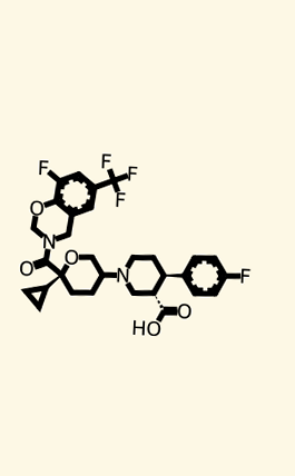 O=C(O)[C@@H]1CN(C2CC[C@@](C(=O)N3COc4c(F)cc(C(F)(F)F)cc4C3)(C3CC3)OC2)CC[C@H]1c1ccc(F)cc1